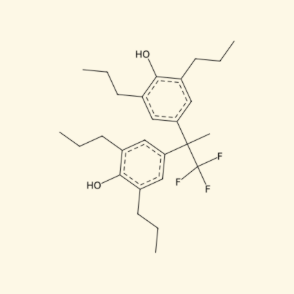 CCCc1cc(C(C)(c2cc(CCC)c(O)c(CCC)c2)C(F)(F)F)cc(CCC)c1O